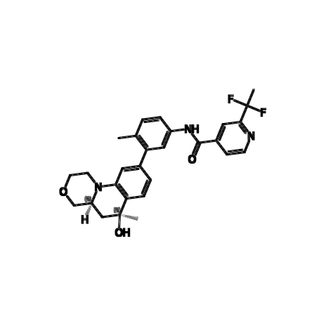 Cc1ccc(NC(=O)c2ccnc(C(C)(F)F)c2)cc1-c1ccc2c(c1)N1CCOC[C@@H]1C[C@]2(C)O